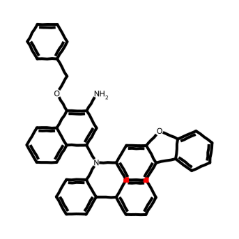 Nc1cc(N(c2ccc3c(c2)oc2ccccc23)c2ccccc2-c2ccccc2)c2ccccc2c1OCc1ccccc1